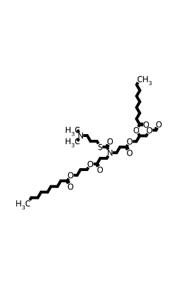 CCCCCCCCC(=O)OCCCOC(=O)CCN(CCC(=O)OCC(COC=O)OC(=O)CCCCCCCC)C(=O)SCCCN(C)C